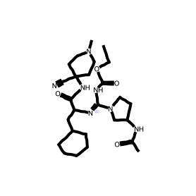 CCOC(=O)N/C(=N\C(CC1CCCCC1)C(=O)NC1(C#N)CCN(C)CC1)N1CCC(NC(C)=O)C1